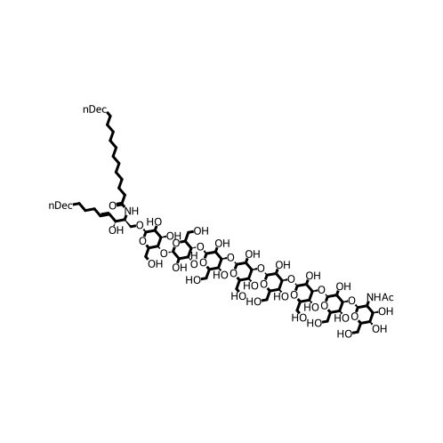 CCCCCCCCCCCCC/C=C/[C@@H](O)[C@H](CO[C@@H]1OC(CO)[C@@H](O[C@@H]2OC(CO)[C@H](O[C@@H]3OC(CO)[C@H](O)[C@H](O[C@H]4OC(CO)[C@H](O)[C@H](O[C@H]5OC(CO)[C@H](O)[C@H](O[C@H]6OC(CO)[C@H](O)[C@H](O[C@H]7OC(CO)[C@H](O)[C@H](O[C@@H]8OC(CO)[C@H](O)[C@H](O)C8NC(C)=O)C7O)C6O)C5O)C4O)C3O)[C@H](O)C2O)[C@H](O)C1O)NC(=O)CCCCCCCCCCCCCCCCCCCCC